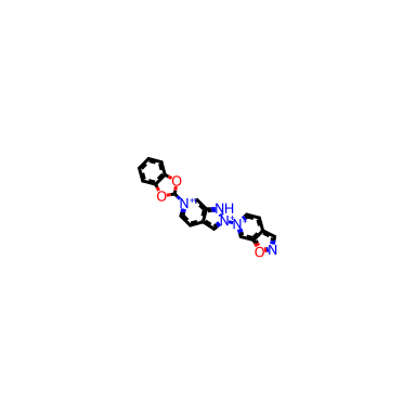 c1ccc2c(c1)OC([n+]1ccc3c[n+](-[n+]4ccc5cnoc5c4)[nH]c3c1)O2